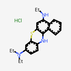 CCNc1cc2c(c3ccccc13)Nc1ccc(N(CC)CC)cc1S2.Cl